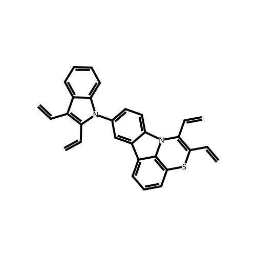 C=CC1=C(C=C)n2c3ccc(-n4c(C=C)c(C=C)c5ccccc54)cc3c3cccc(c32)S1